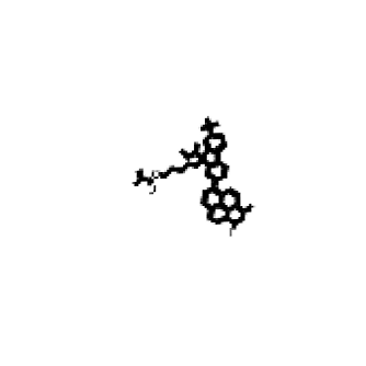 C=C(C)C(=O)OCCCCCC1(C(=C)CC)c2cc(-c3ccc4ccc5c(F)cc(F)c6ccc3c4c56)ccc2-c2ccc(C(C)(C)C)cc21